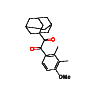 COc1ccc(C(=O)C(=O)C23CC4CC(CC(C4)C2)C3)c(C)c1C